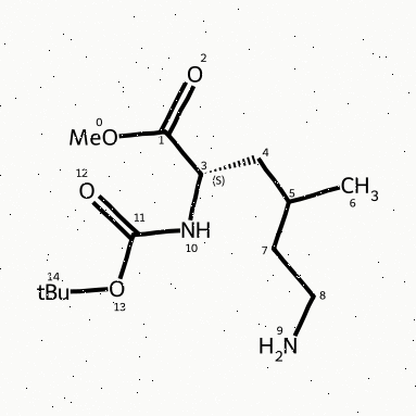 COC(=O)[C@H](CC(C)CCN)NC(=O)OC(C)(C)C